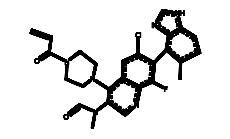 C=CC(=O)N1CCN(c2c(N(C)C=O)cnc3c(F)c(-c4c(C)ccc5[nH]cnc45)c(Cl)cc23)CC1